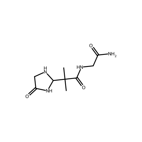 CC(C)(C(=O)NCC(N)=O)C1NCC(=O)N1